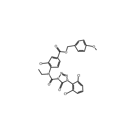 CCN(C(=O)n1nnn(-c2c(Cl)cccc2Cl)c1=O)c1ccc(C(=O)OCc2ccc(OC)cc2)cc1Cl